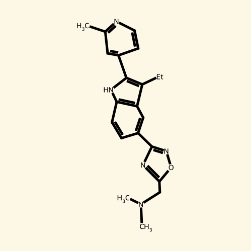 CCc1c(-c2ccnc(C)c2)[nH]c2ccc(-c3noc(CN(C)C)n3)cc12